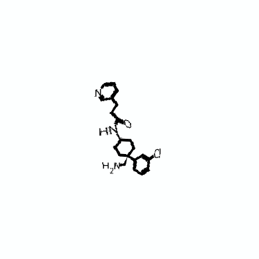 NC[C@]1(c2cccc(Cl)c2)CC[C@H](NC(=O)CCc2cccnc2)CC1